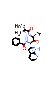 CN[C@@H](C)C(=O)N[C@H](C(=O)C(NC(=O)c1ccccc1)[C@@H]1Cc2cccnc2N1)C(C)C